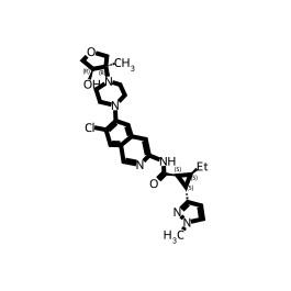 CC[C@@H]1[C@H](C(=O)Nc2cc3cc(N4CCN([C@]5(C)COC[C@@H]5O)CC4)c(Cl)cc3cn2)[C@H]1c1ccn(C)n1